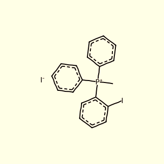 C[P+](c1ccccc1)(c1ccccc1)c1ccccc1I.[I-]